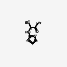 CC(C)C(=O)C(Nc1nccs1)C(C)(C)C